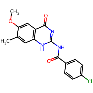 COc1cc2c(=O)nc(NC(=O)c3ccc(Cl)cc3)[nH]c2cc1C